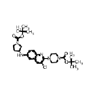 CC(C)(C)OC(=O)N1CCN(c2nc3ccc(N[C@@H]4CCN(C(=O)OC(C)(C)C)C4)cc3cc2Cl)CC1